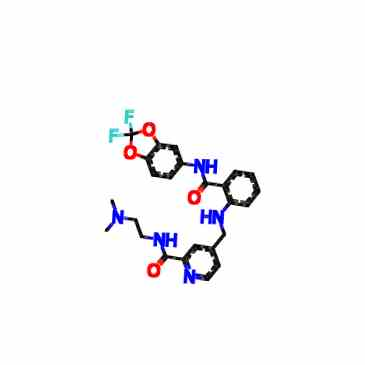 CN(C)CCNC(=O)c1cc(CNc2ccccc2C(=O)Nc2ccc3c(c2)OC(F)(F)O3)ccn1